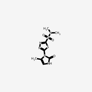 Cc1c[nH]c(=O)n1-c1nnc(S(=O)(=O)N(C)C)s1